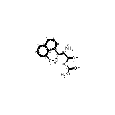 Cc1cccc2cccc([C@@H](C)[C@H](N)C(=N)OC(N)=O)c12